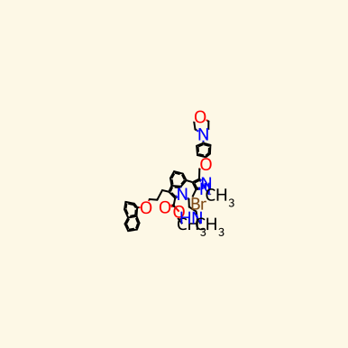 CCOC(=O)c1c(CCCOc2cccc3ccccc23)c2cccc(-c3c(COc4ccc(N5CCOCC5)cc4)nn(C)c3CBr)c2n1CCCNC